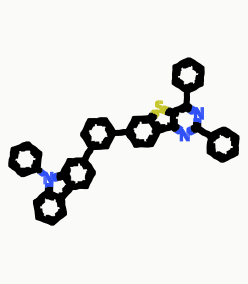 c1ccc(-c2nc(-c3ccccc3)c3sc4cc(-c5cccc(-c6ccc7c8ccccc8n(-c8ccccc8)c7c6)c5)ccc4c3n2)cc1